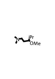 COC(CCN(C)C)C(C)C